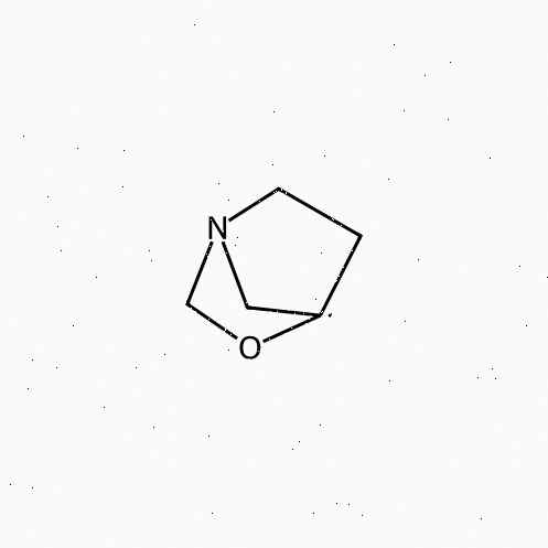 C1CN2CO[C]1C2